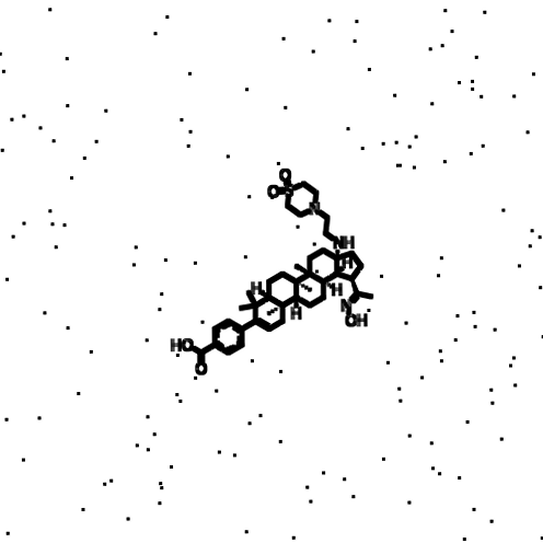 CC(=NO)[C@@H]1CC[C@]2(NCCN3CCS(=O)(=O)CC3)CC[C@]3(C)[C@H](CC[C@@H]4[C@@]5(C)CC=C(c6ccc(C(=O)O)cc6)C(C)(C)[C@@H]5CC[C@]43C)[C@@H]12